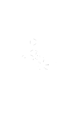 C=C[C@H]1CC[C@](C(C)C)([C@@H](C)N(CC)C(=O)c2nc(C)oc2C)c2nnc(-c3c(F)cccc3F)cc21